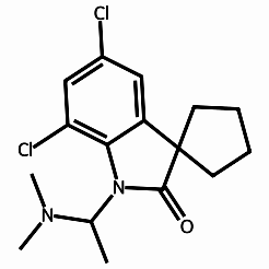 CC(N(C)C)N1C(=O)C2(CCCC2)c2cc(Cl)cc(Cl)c21